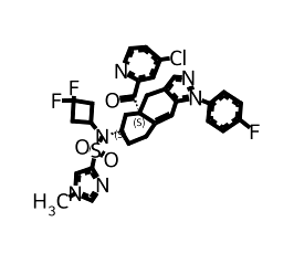 Cn1cnc(S(=O)(=O)N(C2CC(F)(F)C2)[C@H]2CCC3=Cc4c(cnn4-c4ccc(F)cc4)C[C@]3(C(=O)c3cc(Cl)ccn3)C2)c1